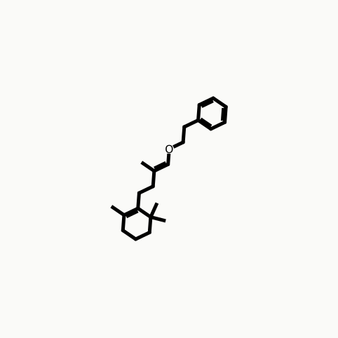 CC1=C(CC/C(C)=C/OCCc2ccccc2)C(C)(C)CCC1